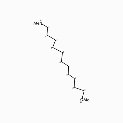 CNCCCCCCCCCCCOC